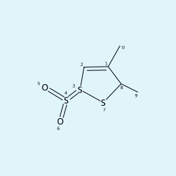 CC1=CS(=S(=O)=O)SC1C